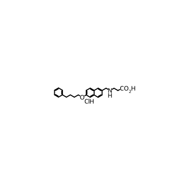 Cl.O=C(O)CCNCc1ccc2cc(OCCCCc3ccccc3)ccc2c1